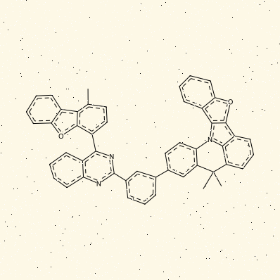 Cc1ccc(-c2nc(-c3cccc(-c4ccc5c(c4)C(C)(C)c4cccc6c7oc8ccccc8c7n-5c46)c3)nc3ccccc23)c2oc3ccccc3c12